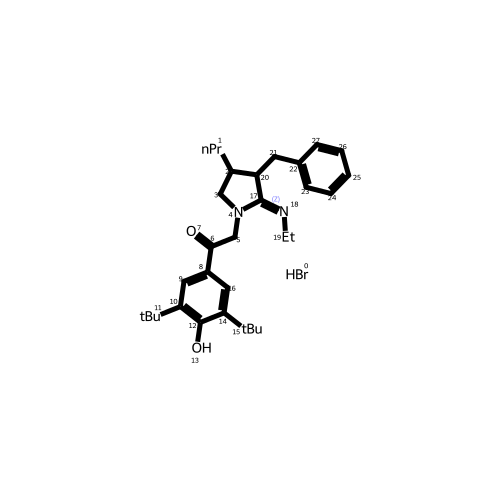 Br.CCCC1CN(CC(=O)c2cc(C(C)(C)C)c(O)c(C(C)(C)C)c2)/C(=N\CC)C1Cc1ccccc1